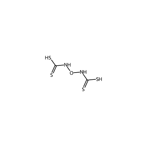 S=C(S)NONC(=S)S